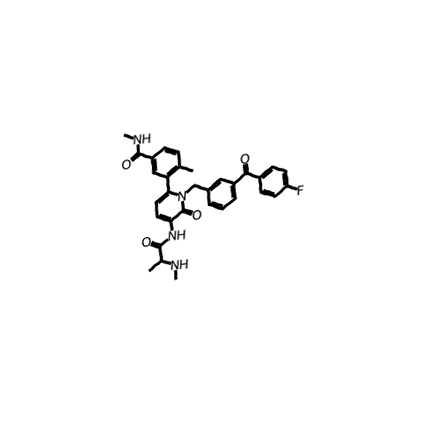 CNC(=O)c1ccc(C)c(-c2ccc(NC(=O)C(C)NC)c(=O)n2Cc2cccc(C(=O)c3ccc(F)cc3)c2)c1